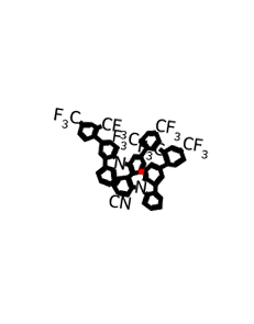 N#Cc1ccc(-c2ccc(-c3ccc(C(F)(F)F)cc3C(F)(F)F)cc2-n2c3ccccc3c3cc(-c4ccc(C(F)(F)F)cc4C(F)(F)F)ccc32)c(-n2c3ccccc3c3cc(-c4ccc(C(F)(F)F)cc4C(F)(F)F)ccc32)c1